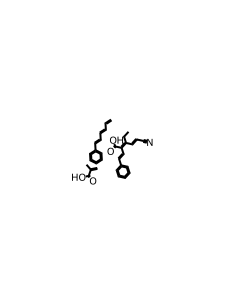 C=C(C)C(=O)O.C=CC=CC=Cc1ccccc1.CCC(C=CC#N)=C(C=Cc1ccccc1)C(=O)O